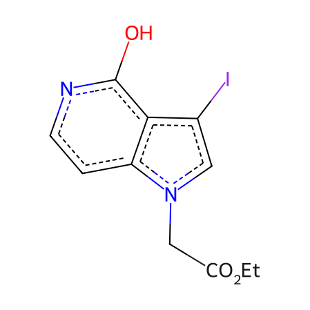 CCOC(=O)Cn1cc(I)c2c(O)nccc21